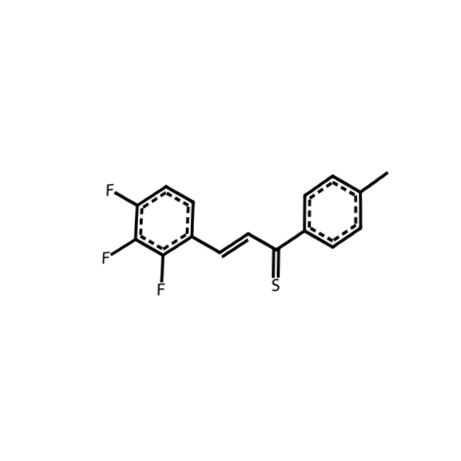 Cc1ccc(C(=S)C=Cc2ccc(F)c(F)c2F)cc1